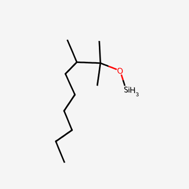 CCCCCCC(C)C(C)(C)O[SiH3]